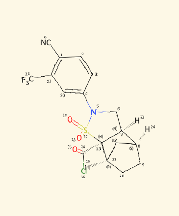 N#Cc1ccc(N2C[C@H]3[C@H]4CC[C@H](C4)[C@@]3(C(=O)Cl)S2(=O)=O)cc1C(F)(F)F